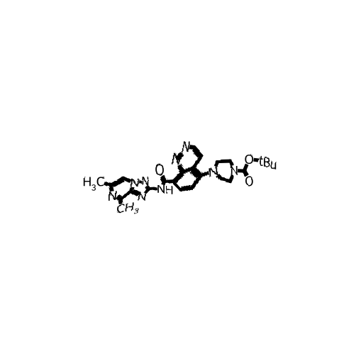 Cc1cn2nc(NC(=O)c3ccc(N4CCN(C(=O)OC(C)(C)C)CC4)c4ccnnc34)nc2c(C)n1